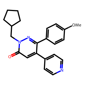 COc1ccc(-c2nn(CC3CCCC3)c(=O)cc2-c2ccncc2)cc1